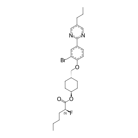 CCCC[C@H](F)C(=O)O[C@H]1CC[C@H](COc2ccc(-c3ncc(CCC)cn3)cc2Br)CC1